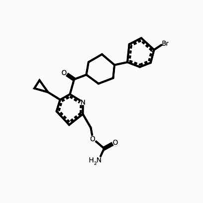 NC(=O)OCc1ccc(C2CC2)c(C(=O)C2CCC(c3ccc(Br)cc3)CC2)n1